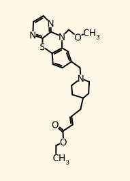 CCOC(=O)/C=C/CC1CCN(Cc2ccc3c(c2)N(COC)c2nccnc2S3)CC1